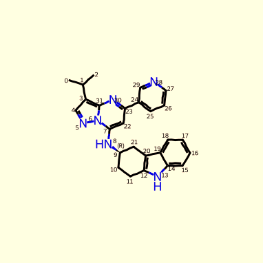 CC(C)c1cnn2c(N[C@@H]3CCc4[nH]c5ccccc5c4C3)cc(-c3cccnc3)nc12